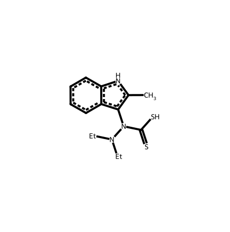 CCN(CC)N(C(=S)S)c1c(C)[nH]c2ccccc12